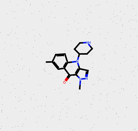 Cc1ccc2c(c1)c(=O)c1c(cnn1C)n2C1CCNCC1